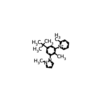 Cc1c(-n2ccc[n+]2C)cc(C(C)(C)C)cc1-[n+]1ccccc1C